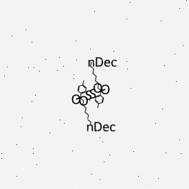 CCCCCCCCCCCCCCCCOC(=O)c1ccc(C)cc1SSc1cc(C)ccc1C(=O)OCCCCCCCCCCCCCCCC